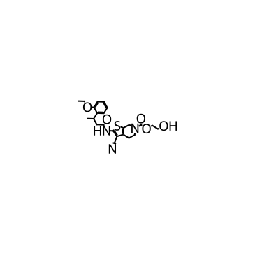 CCOc1ccccc1C(C)CC(=O)Nc1sc2c(c1C#N)CCN(C(=O)OCCO)C2